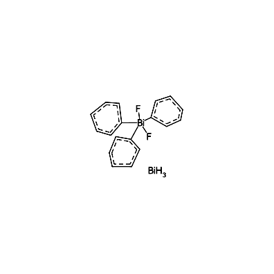 [BiH3].[F][Bi]([F])([c]1ccccc1)([c]1ccccc1)[c]1ccccc1